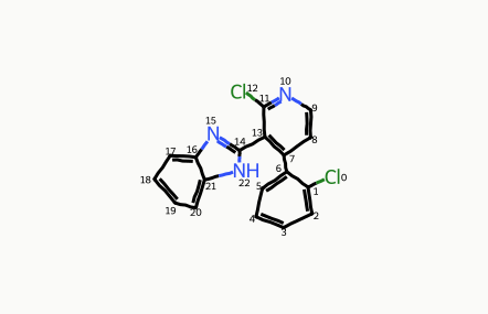 Clc1ccccc1-c1ccnc(Cl)c1-c1nc2ccccc2[nH]1